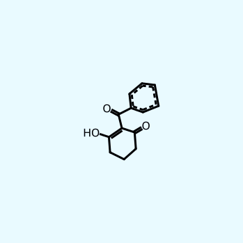 O=C1CCCC(O)=C1C(=O)c1ccccc1